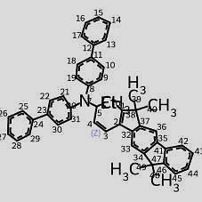 CCC1=C(/C=C\C(C)N(c2ccc(-c3ccccc3)cc2)c2ccc(-c3ccccc3)cc2)c2cc3c(cc2C1(C)C)-c1ccccc1C3(C)C